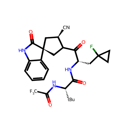 CC(C)(C)[C@H](NC(=O)C(F)(F)F)C(=O)N[C@@H](CC1(F)CC1)C(=O)C1C[C@]2(C[C@H]1C#N)C(=O)Nc1ccccc12